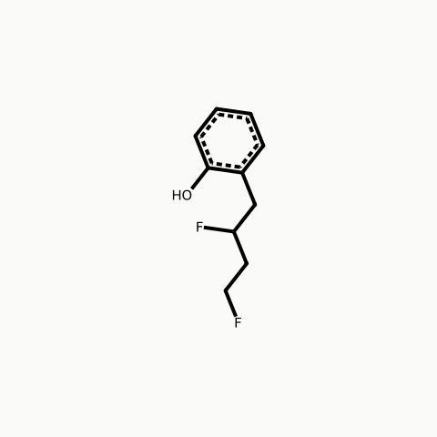 Oc1ccccc1CC(F)CCF